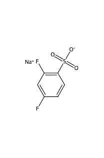 O=S(=O)([O-])c1ccc(F)cc1F.[Na+]